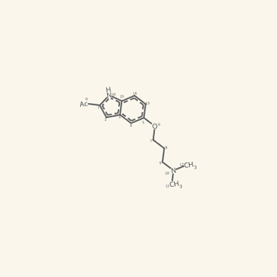 CC(=O)c1cc2cc(OCCCN(C)C)ccc2[nH]1